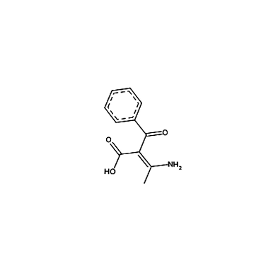 CC(N)=C(C(=O)O)C(=O)c1ccccc1